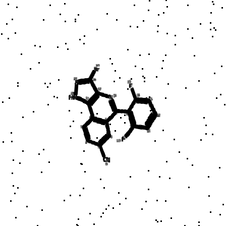 N#Cc1ccc2c(c1)c(-c1c(F)cccc1F)nc1c(Br)n[nH]c12